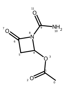 CC(=O)OC1CC(=O)N1C(N)=O